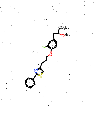 CCOC(=O)C(Cc1ccc(OCCCc2csc(-c3ccccc3)n2)c(F)c1)OCC